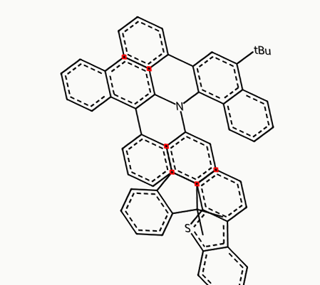 CC(C)(C)c1cc(-c2ccccc2)c(N(c2ccc3c(c2)-c2ccccc2C3(C)C)c2ccc3ccccc3c2-c2cccc(-c3cccc4c3sc3ccccc34)c2)c2ccccc12